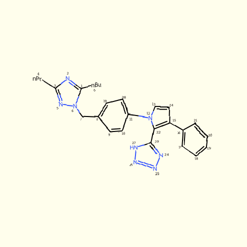 CCCCc1nc(CCC)nn1Cc1ccc(-n2ccc(-c3ccccc3)c2-c2nnn[nH]2)cc1